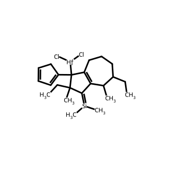 CCC1CCCC2=C(C(=[Si](C)C)C(C)(CC)[C]2(C2=CC=CC2)[Hf]([Cl])[Cl])C1C